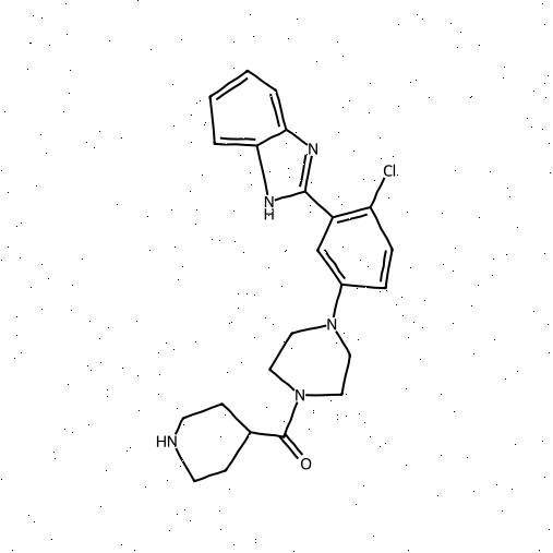 O=C(C1CCNCC1)N1CCN(c2ccc(Cl)c(-c3nc4ccccc4[nH]3)c2)CC1